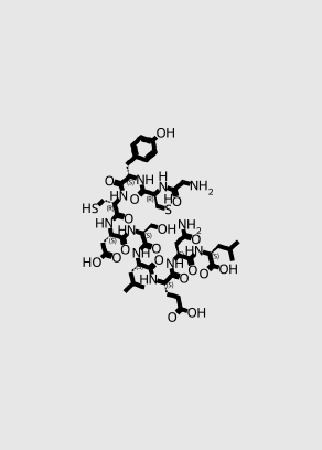 CC(C)C[C@H](NC(=O)[C@H](CC(N)=O)NC(=O)[C@H](CCC(=O)O)NC(=O)[C@H](CC(C)C)NC(=O)[C@H](CO)NC(=O)[C@H](CC(=O)O)NC(=O)[C@H](CS)NC(=O)[C@H](Cc1ccc(O)cc1)NC(=O)[C@H](CS)NC(=O)CN)C(=O)O